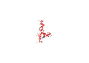 CC(=O)N[C@H]1[C@H](O[C@H]2[C@@H](O)[C@@H](CO)O[C@@H](O[C@H]3[C@H](O)[C@@H](NC(C)=O)[C@H](O[C@H]4[C@@H](O)[C@@H](CO[C@@H]5O[C@H](CO)[C@@H](O[C@@H]6O[C@H](CO)[C@H](O)[C@H](O[C@H]7O[C@H](CO)[C@H](O)[C@H](O)[C@H]7O)[C@H]6O)[C@H](O)[C@H]5NC(C)=O)O[C@@H](O[C@H]5[C@H](O)[C@@H](NC(C)=O)[C@H](O[C@H]6[C@@H](O)[C@@H](CO)O[C@@H](O[C@H]7[C@H](O)[C@@H](O)[C@H](O)O[C@@H]7CO)[C@@H]6O)O[C@@H]5CO)[C@@H]4O)O[C@@H]3CO)[C@@H]2O)O[C@H](CO)[C@@H](O[C@@H]2O[C@H](CO)[C@H](O)[C@H](O)[C@H]2O)[C@@H]1O